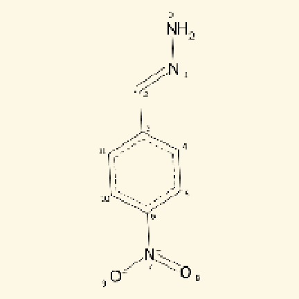 NN=[C]c1ccc([N+](=O)[O-])cc1